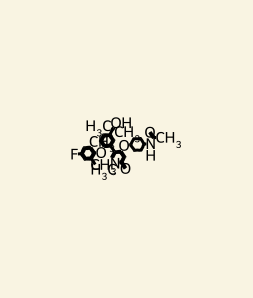 CC(=O)NC1CCC(Oc2cc(=O)n(C)cc2-c2cc(C(C)(C)O)ccc2Oc2c(C)cc(F)cc2C)CC1